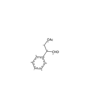 CC(=O)OCC([C]=O)c1ccccc1